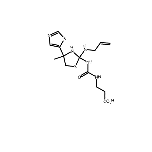 C=CCNC1(NC(=O)NCCC(=O)O)NC(C)(c2cncs2)CS1